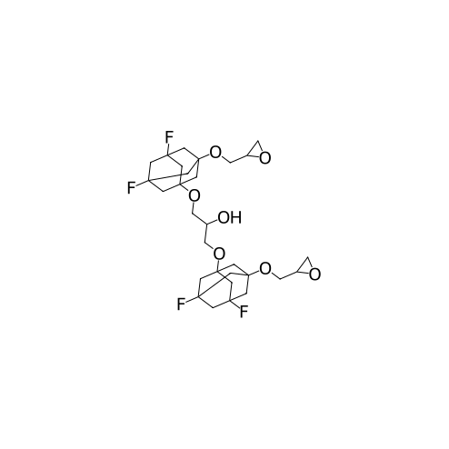 OC(COC12CC3(F)CC(F)(C1)CC(OCC1CO1)(C3)C2)COC12CC3(F)CC(F)(C1)CC(OCC1CO1)(C3)C2